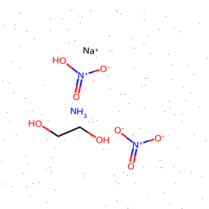 N.O=[N+]([O-])O.O=[N+]([O-])[O-].OCCO.[Na+]